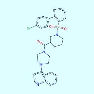 O=C(C1CCCN(S(=O)(=O)c2ccccc2-c2ccc(Br)cc2)C1)N1CCN(c2ccnc3ccccc23)CC1